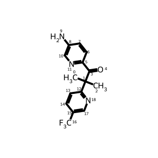 CC(C)(C(=O)c1ccc(N)cn1)c1ccc(C(F)(F)F)cn1